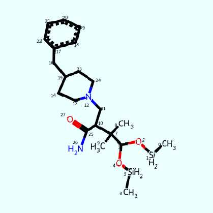 C[SiH2]OC(O[SiH2]C)C(C)(C)C(CN1CCC(Cc2ccccc2)CC1)C(N)=O